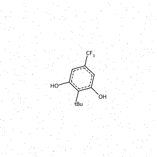 CC(C)(C)c1c(O)cc(C(F)(F)F)cc1O